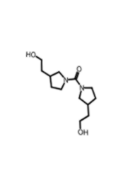 O=C(N1CCC(CCO)C1)N1CCC(CCO)C1